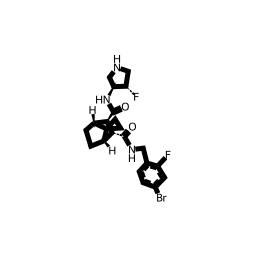 O=C(N[C@H]1CNC[C@@H]1F)[C@H]1[C@H](C(=O)NCc2ccc(Br)cc2F)[C@@H]2CC[C@H]1C21CC1